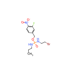 CCCNP(=O)(NCCBr)OCc1ccc([N+](=O)[O-])c(F)c1